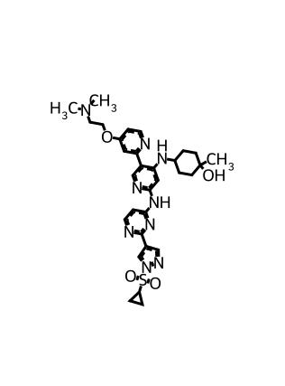 CN(C)CCOc1ccnc(-c2cnc(Nc3ccnc(-c4cnn(S(=O)(=O)C5CC5)c4)n3)cc2NC2CCC(C)(O)CC2)c1